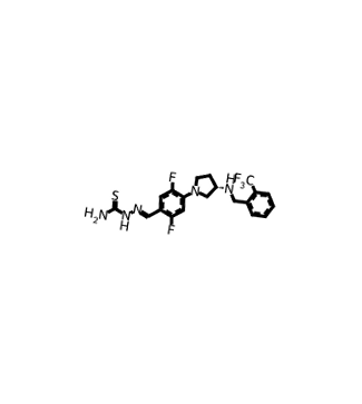 NC(=S)N/N=C/c1cc(F)c(N2CC[C@H](NCc3ccccc3C(F)(F)F)C2)cc1F